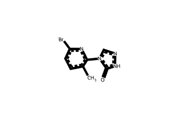 Cc1ccc(Br)nc1-n1cn[nH]c1=O